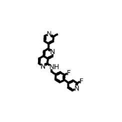 Cc1cc(-c2cc3ccnc(NCc4ccc(-c5ccnc(F)c5)c(F)c4)c3cn2)ccn1